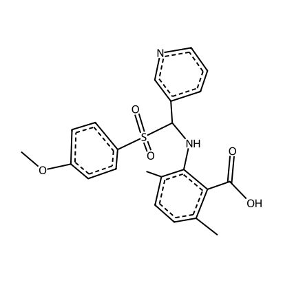 COc1ccc(S(=O)(=O)C(Nc2c(C)ccc(C)c2C(=O)O)c2cccnc2)cc1